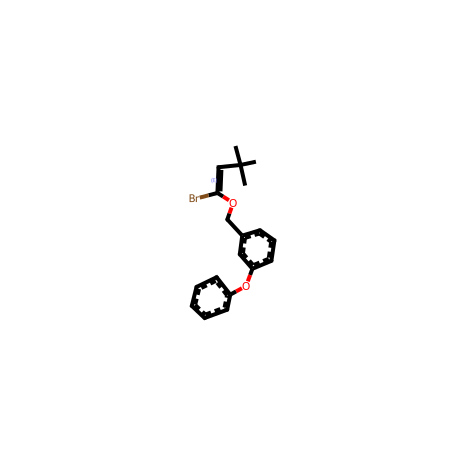 CC(C)(C)/C=C(/Br)OCc1cccc(Oc2ccccc2)c1